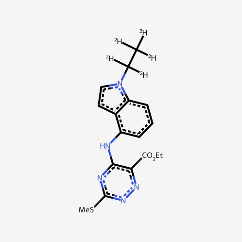 [2H]C([2H])([2H])C([2H])([2H])n1ccc2c(Nc3nc(SC)nnc3C(=O)OCC)cccc21